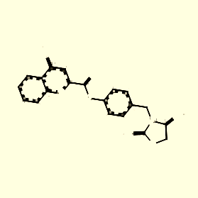 O=C(Nc1ccc(CN2C(=O)CSC2=O)cc1)c1cc(=O)c2ccccc2o1